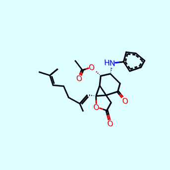 CC(=O)O[C@H]1C2C3(CC(=O)O[C@@]23/C=C(\C)CCC=C(C)C)C(=O)C[C@H]1Nc1ccccc1